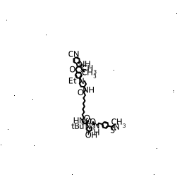 CCc1cc2c(cc1N1CCC(NC(=O)CCCCCCCCC(=O)N[C@H](C(=O)N3C[C@H](O)C[C@H]3C(=O)NCc3ccc(-c4scnc4C)cc3)C(C)(C)C)CC1)C(C)(C)c1[nH]c3cc(C#N)ccc3c1C2=O